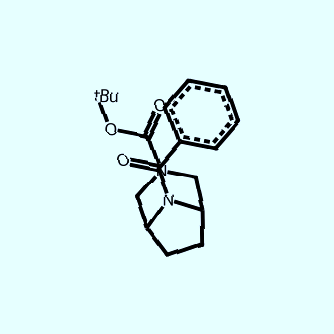 CC(C)(C)OC(=O)N1CC2CCC(C1)N2C(=O)c1ccccc1